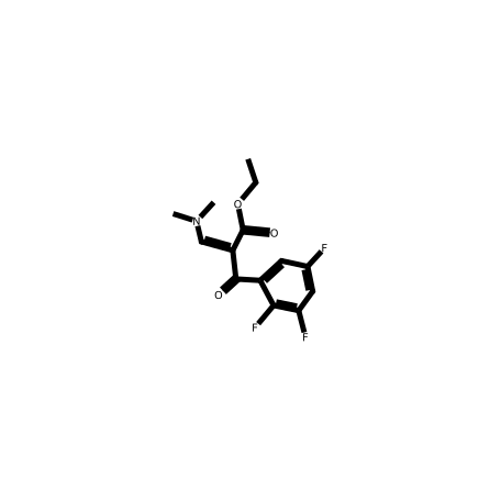 CCOC(=O)C(=CN(C)C)C(=O)c1cc(F)cc(F)c1F